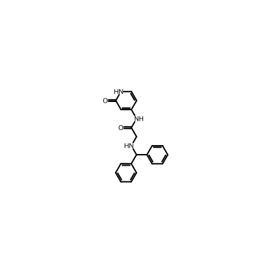 O=C(CNC(c1ccccc1)c1ccccc1)Nc1cc[nH]c(=O)c1